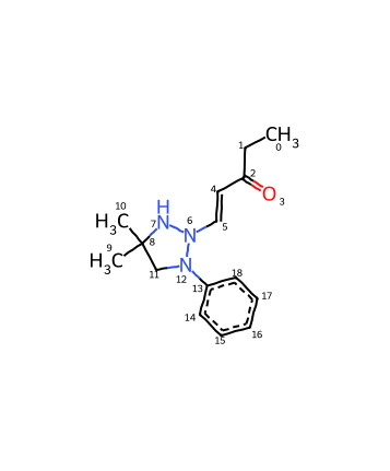 CCC(=O)C=CN1NC(C)(C)CN1c1ccccc1